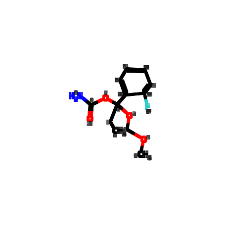 CCC(OCOC)(OC(N)=O)c1ccccc1F